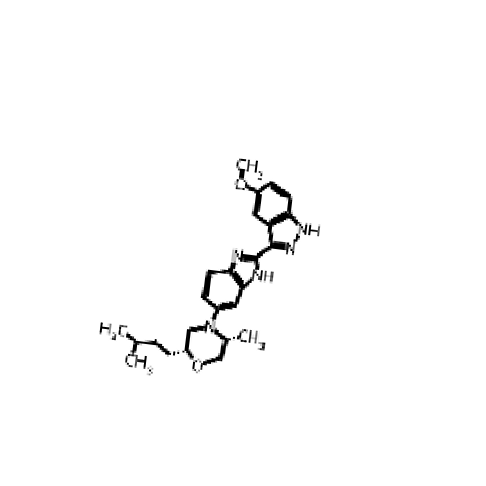 COc1ccc2[nH]nc(-c3nc4ccc(N5C[C@@H](C[CH]C(C)C)OC[C@H]5C)cc4[nH]3)c2c1